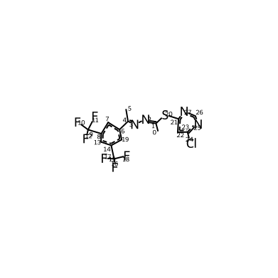 C/C(=N\N=C(/C)c1cc(C(F)(F)F)cc(C(F)(F)F)c1)Sc1cc(Cl)ncn1